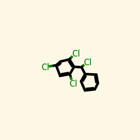 Clc1cc(Cl)c(C(Cl)c2ccccc2)c(Cl)c1